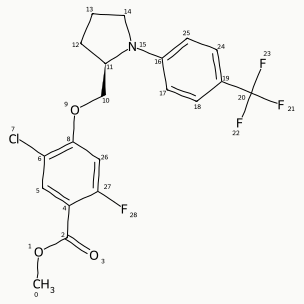 COC(=O)c1cc(Cl)c(OC[C@H]2CCCN2c2ccc(C(F)(F)F)cc2)cc1F